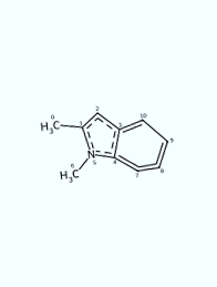 Cc1cc2c(n1C)=C=C=CC=2